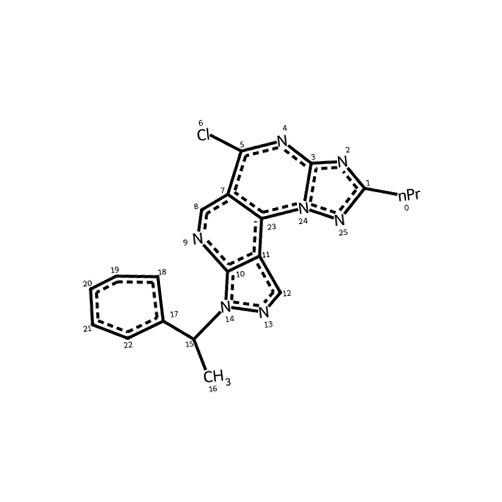 CCCc1nc2nc(Cl)c3cnc4c(cnn4C(C)c4ccccc4)c3n2n1